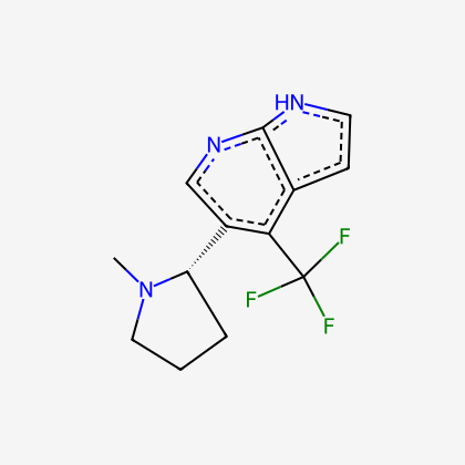 CN1CCC[C@H]1c1cnc2[nH]ccc2c1C(F)(F)F